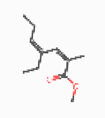 CCC=C(C=C(C)C(=O)OC)CC